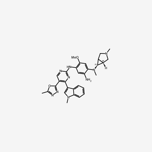 COc1cc(N(C)[C@H]2C3CN(C)C[C@@H]32)c(N)cc1Nc1ncc(-c2nnc(C)o2)c(-c2cn(C)c3ccccc23)n1